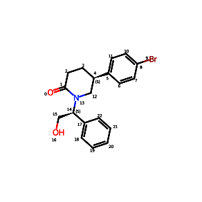 O=C1CC[C@@H](c2ccc(Br)cc2)CN1[C@H](CO)c1ccccc1